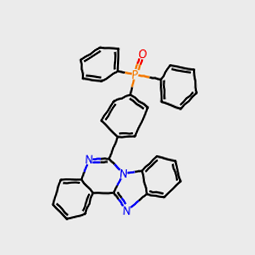 O=P(c1ccccc1)(c1ccccc1)c1ccc(-c2nc3ccccc3c3nc4ccccc4n23)cc1